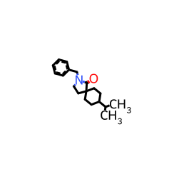 CC(C)C1CCC2(CC1)CCN(Cc1ccccc1)C2=O